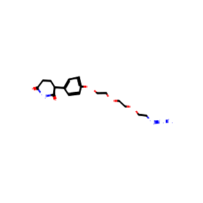 [N-]=[N+]=NCCOCCOCCOc1ccc(C2CCC(=O)NC2=O)cc1